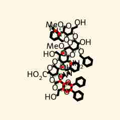 COC(=O)C1O[C@@H](O[C@@H]2C(CO)O[C@H](OC)C(N=[N+]=[N-])[C@@H]2OCc2ccccc2)C(O)[C@@H](OCc2ccccc2)[C@H]1O[C@@H]1OC(CO)[C@@H](O[C@@H]2OC(C(=O)O)[C@@H](O[C@H]3OC(CO)[C@@H](OCc4ccccc4)[C@@H](OCc4ccccc4)C3N=[N+]=[N-])[C@@H](OCc3ccccc3)C2OCc2ccccc2)[C@H](O)C1N